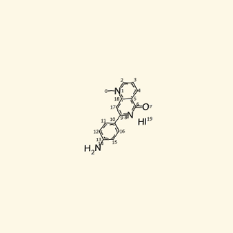 Cn1cccc2c(=O)nc(-c3ccc(N)cc3)cc1-2.I